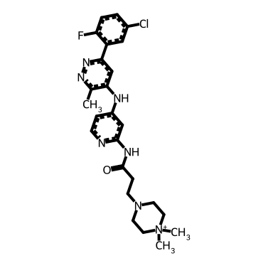 Cc1nnc(-c2cc(Cl)ccc2F)cc1Nc1ccnc(NC(=O)CCN2CC[N+](C)(C)CC2)c1